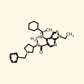 CCn1ncc2c(N[C@H](C)C3CCCCC3)c(C(=O)N(C)C3CCN(Cc4ccccc4)C3)cnc21